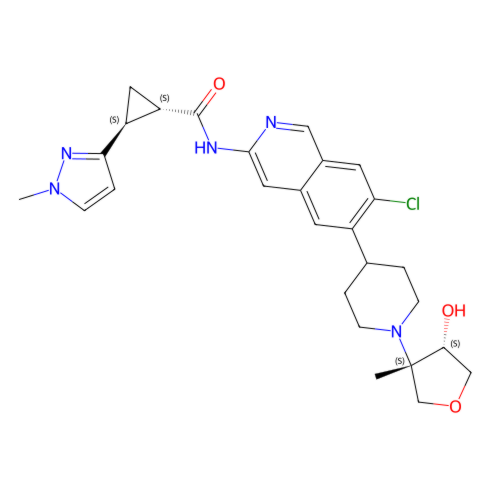 Cn1ccc([C@H]2C[C@@H]2C(=O)Nc2cc3cc(C4CCN([C@@]5(C)COC[C@H]5O)CC4)c(Cl)cc3cn2)n1